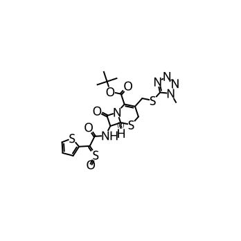 Cn1nnnc1SCC1=C(C(=O)OC(C)(C)C)N2C(=O)C(NC(=O)C(=S=O)c3cccs3)[C@H]2SC1